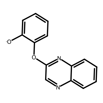 [O]c1ccccc1Oc1cnc2ccccc2n1